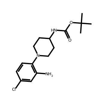 CC(C)(C)OC(=O)NC1CCN(c2ccc(Cl)cc2N)CC1